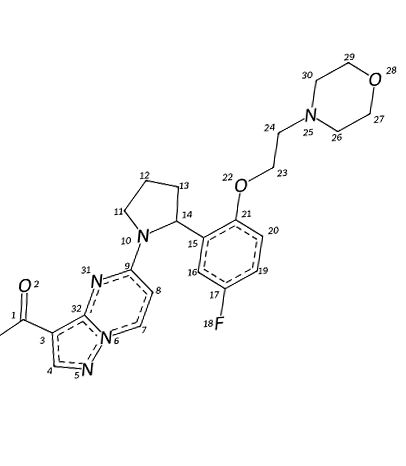 NC(=O)c1cnn2ccc(N3CCCC3c3cc(F)ccc3OCCN3CCOCC3)nc12